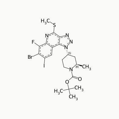 CSc1nc2c(F)c(Br)c(I)cc2c2c1nnn2[C@H]1CCN(C(=O)OC(C)(C)C)[C@H](C)C1